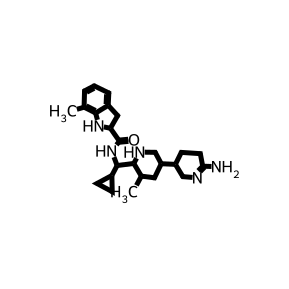 Cc1cccc2c1NC(C(=O)NC(C1CC1)C1NCC(C3CCC(N)=NC3)CC1C)C2